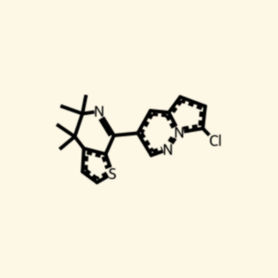 CC1(C)N=C(c2cnn3c(Cl)ccc3c2)c2sccc2C1(C)C